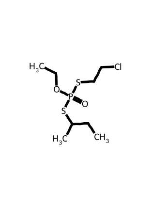 CCOP(=O)(SCCCl)SC(C)CC